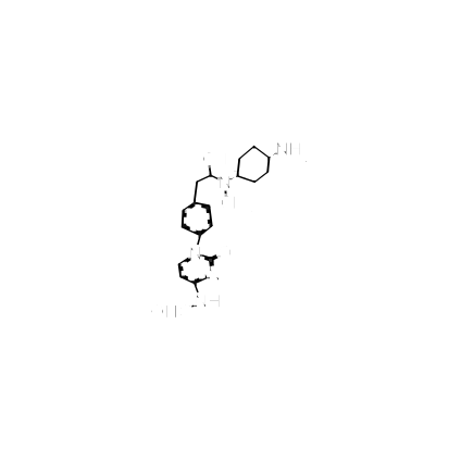 CC(Cc1ccc(-n2ccc(NC=O)nc2=O)cc1)N(C)[C@H]1CC[C@@H](N)CC1